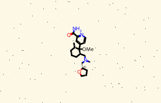 COC1(c2ccnc(C(N)=O)c2)C(C)CCCC1CN(C)C[C@@H]1CCCO1